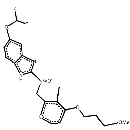 COCCCOc1ccnc(C[S+]([O-])c2nc3cc(OC(F)F)ccc3[nH]2)c1C